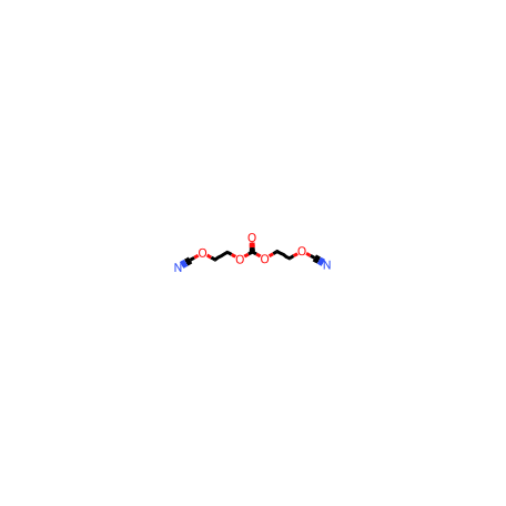 N#COCCOC(=O)OCCOC#N